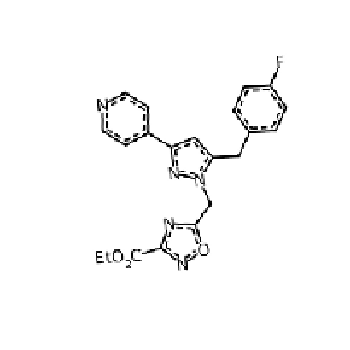 CCOC(=O)c1noc(Cn2nc(-c3ccncc3)cc2Cc2ccc(F)cc2)n1